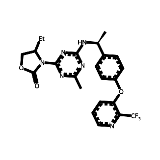 CCC1COC(=O)N1c1nc(C)nc(N[C@@H](C)c2ccc(Oc3cccnc3C(F)(F)F)cc2)n1